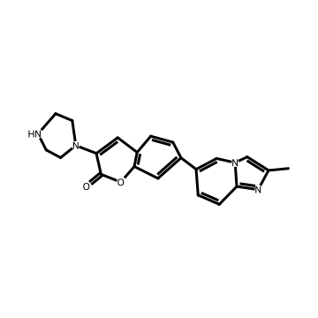 Cc1cn2cc(-c3ccc4cc(N5CCNCC5)c(=O)oc4c3)ccc2n1